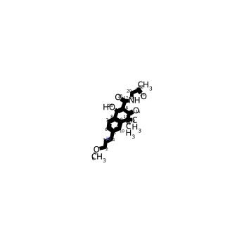 COC/C=C/c1ccc2c(c1)C(C)(C)C(=O)C(C(=O)NCC(C)=O)=C2O